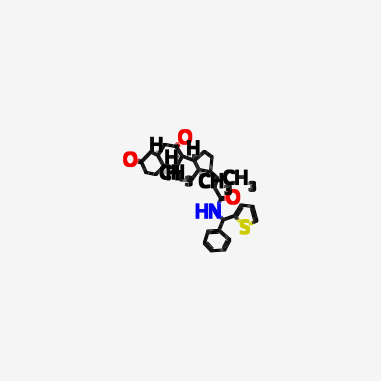 C[C@H](CC(=O)NC(c1ccccc1)c1cccs1)C1CC[C@H]2[C@@H]3C(=O)C[C@@H]4CC(=O)CC[C@]4(C)[C@H]3CC[C@]12C